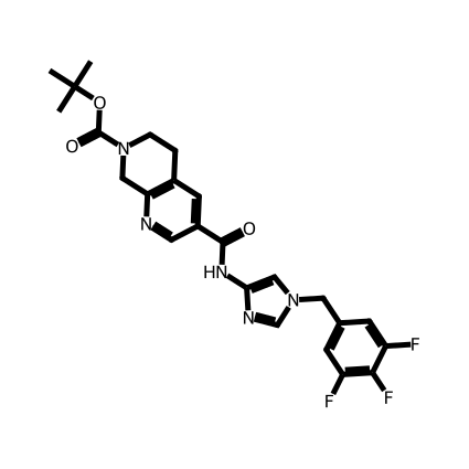 CC(C)(C)OC(=O)N1CCc2cc(C(=O)Nc3cn(Cc4cc(F)c(F)c(F)c4)cn3)cnc2C1